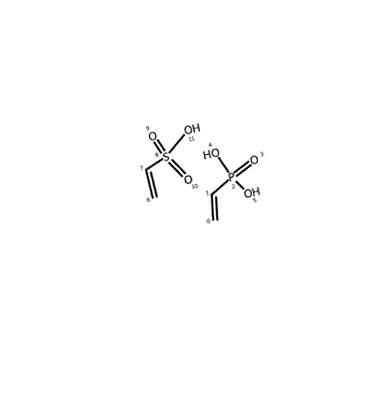 C=CP(=O)(O)O.C=CS(=O)(=O)O